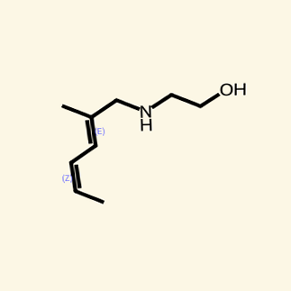 C/C=C\C=C(/C)CNCCO